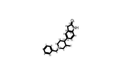 CC1CN(Cc2ccccc2)CCC1c1ccc2c(c1)CC(=O)N2